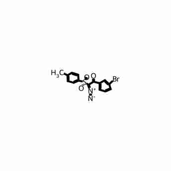 Cc1ccc(S(=O)(=O)C(=[N+]=[N-])C(=O)c2cccc(Br)c2)cc1